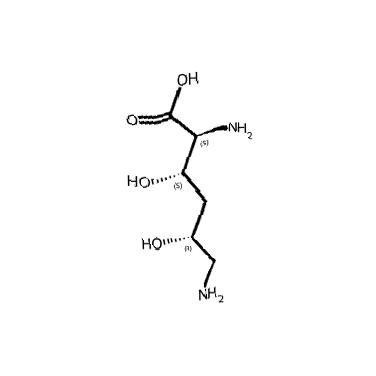 NC[C@H](O)C[C@H](O)[C@H](N)C(=O)O